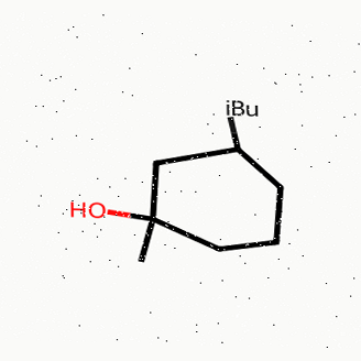 CCC(C)C1CCCC(C)(O)C1